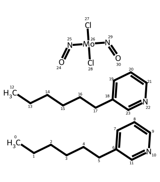 CCCCCCc1cccnc1.CCCCCCc1cccnc1.O=[N][Mo]([Cl])([Cl])[N]=O